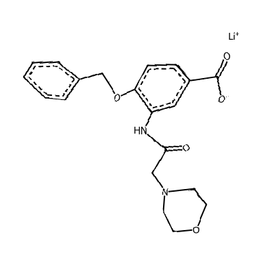 O=C(CN1CCOCC1)Nc1cc(C(=O)[O-])ccc1OCc1ccccc1.[Li+]